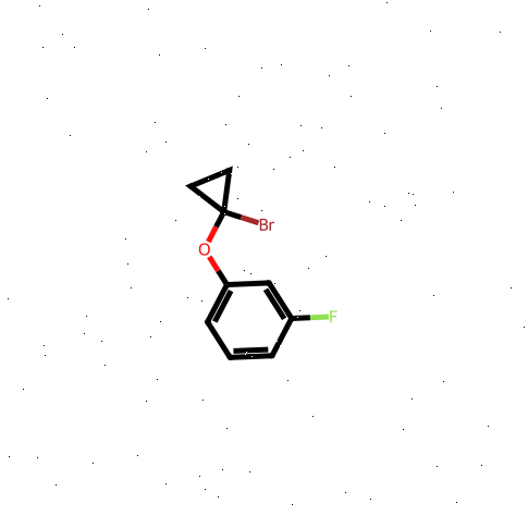 Fc1cccc(OC2(Br)CC2)c1